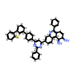 N=C1C=Cc2c(-c3ccccc3)nc3cc(-c4cc(-c5ccc(-c6cccc7c6sc6ccccc67)cc5)nc(-c5ccccc5)n4)ccc3c2C1=N